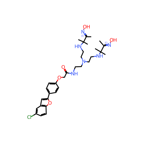 C/C(=N\O)C(C)(C)NCCN(CCNC(=O)COc1ccc(-c2cc3cc(Cl)ccc3o2)cc1)CCNC(C)(C)/C(C)=N/O